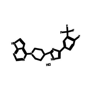 Cl.Fc1ccc(-c2c[nH]c(C3CCN(c4ncnc5[nH]ccc45)CC3)n2)cc1C(F)(F)F